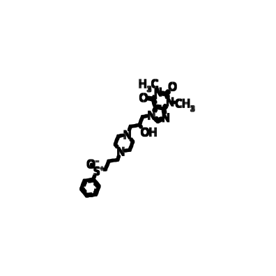 Cn1c(=O)c2c(ncn2CC(O)CN2CCN(CCC[S+]([O-])c3ccccc3)CC2)n(C)c1=O